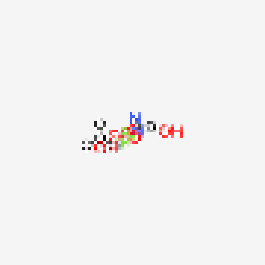 N#C/C(=N\OS(=O)(=O)C(F)(F)C(F)(F)COCc1c(C2CCCCC2)cc(C2CCCCC2)c(O)c1C1CCCCC1)c1ccc(CO)cc1